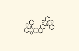 c1ccc2c(c1)Oc1cccc3c1B2c1cc2ccc4c(c2cc1O3)CC1B2c3ccccc3Oc3cccc(c32)OC1C4